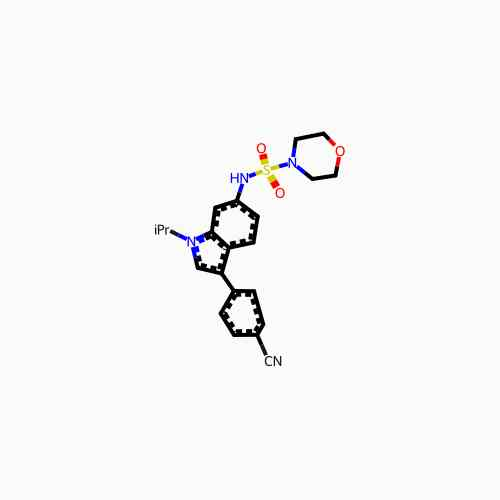 CC(C)n1cc(-c2ccc(C#N)cc2)c2ccc(NS(=O)(=O)N3CCOCC3)cc21